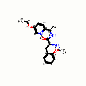 C[C@@H](NC(=O)C(N)Cc1ccccc1OC(F)(F)F)c1ccc(OCC(F)(F)F)cn1